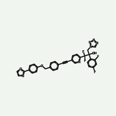 OC(Cn1cnnn1)(c1ccc(F)cc1F)C(F)(F)c1ccc(C#Cc2ccc(COc3ccc(-c4ncco4)cc3)cc2)cn1